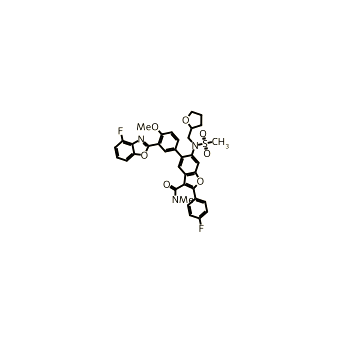 CNC(=O)c1c(-c2ccc(F)cc2)oc2cc(N(CC3CCCO3)S(C)(=O)=O)c(-c3ccc(OC)c(-c4nc5c(F)cccc5o4)c3)cc12